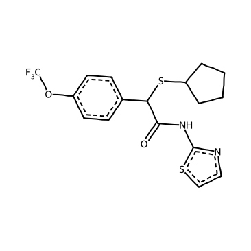 O=C(Nc1nccs1)C(SC1CCCC1)c1ccc(OC(F)(F)F)cc1